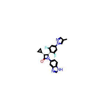 Cc1cnn(-c2cc(F)c([C@H]3[C@@H](C4CC4)C(=O)N3c3ccc4[nH]cnc4c3)c(F)c2)c1